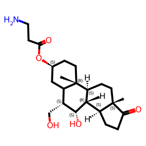 C[C@]12CC[C@H](OC(=O)CCN)CC1[C@@H](CO)[C@@H](O)[C@@H]1[C@@H]2CC[C@]2(C)C(=O)CC[C@@H]12